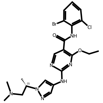 CCOc1nc(Nc2cnn([C@@H](C)CN(C)C)c2)ncc1C(=O)Nc1c(Cl)cccc1Br